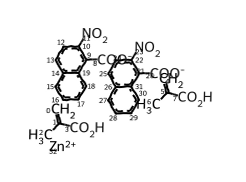 C=C(C)C(=O)O.C=C(C)C(=O)O.O=C([O-])c1c([N+](=O)[O-])ccc2ccccc12.O=C([O-])c1c([N+](=O)[O-])ccc2ccccc12.[Zn+2]